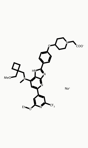 CCOc1cc(-c2cc(N(C)CC3(COC)CCC3)c3[nH]c(-c4ccc(OC5CCN(CC(=O)[O-])CC5)cc4)nc3n2)cc(C(F)(F)F)n1.[Na+]